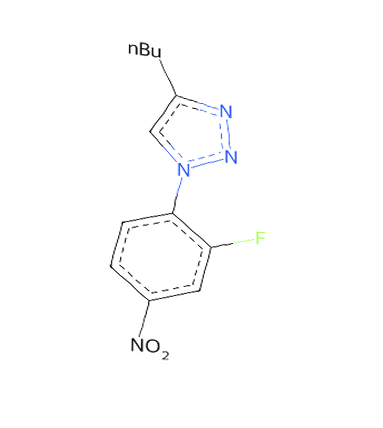 CCCCc1cn(-c2ccc([N+](=O)[O-])cc2F)nn1